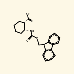 O=C(N[C@@H]1CCCC[C@@H]1C(=O)O)OCC1c2ccccc2-c2ccccc21